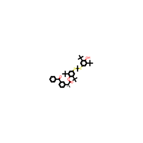 C[C@H](C(=O)Oc1c(C(C)(C)C)cc(SC(C)(C)Sc2cc(C(C)(C)C)c(O)c(C(C)(C)C)c2)cc1C(C)(C)C)c1cccc(C(=O)c2ccccc2)c1